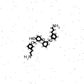 NCCCc1cccc(OC[C@H]2CC(O[C@@H]3CCCC[C@H]3COc3cccc(CCCN)c3)CC[C@H]2O)c1